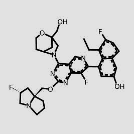 CCc1c(F)ccc2cc(O)cc(-c3ncc4c(N5CC6(CO)CC5CCO6)nc(OC[C@@]56CCCN5C[C@H](F)C6)nc4c3F)c12